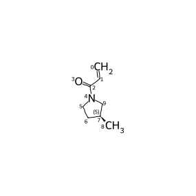 C=CC(=O)N1CC[C@H](C)C1